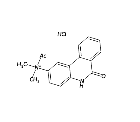 CC(=O)[N+](C)(C)c1ccc2[nH]c(=O)c3ccccc3c2c1.Cl